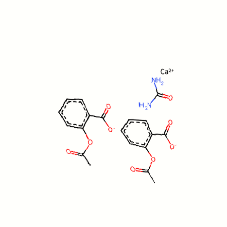 CC(=O)Oc1ccccc1C(=O)[O-].CC(=O)Oc1ccccc1C(=O)[O-].NC(N)=O.[Ca+2]